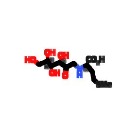 CSCC[C@H](NCC(=O)[C@@H](O)[C@H](O)[C@H](O)CO)C(=O)O